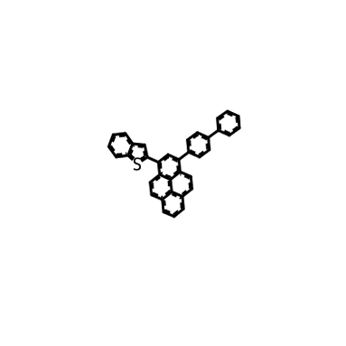 c1ccc(-c2ccc(-c3cc(-c4cc5ccccc5s4)c4ccc5cccc6ccc3c4c65)cc2)cc1